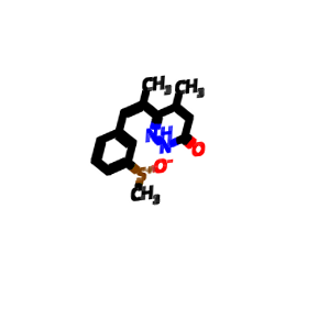 CC(=Cc1cccc([S+](C)[O-])c1)C1=NNC(=O)CC1C